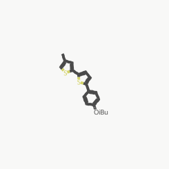 Cc1csc(-c2ccc(-c3ccc(OCC(C)C)cc3)s2)c1